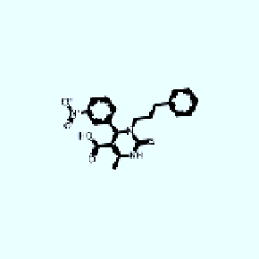 CC1=C(C(=O)O)C(c2cccc([N+](=O)[O-])c2)N(CCCc2ccccc2)C(=S)N1